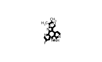 C[C@@H]1[C@@H](C)OCc2c(-c3ccnc4[nH]ncc34)c(-c3ccc(F)cn3)nn21